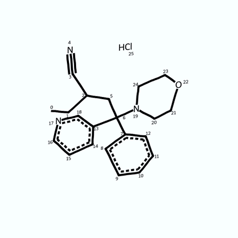 CCC(C#N)CC(c1ccccc1)(c1cccnc1)N1CCOCC1.Cl